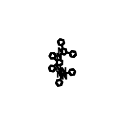 c1ccc(-c2cc(-c3ccccc3)nc(-n3c4ccccc4c4c5c6ccccc6n(-c6nc(-c7ccccc7)nc(-c7ccccc7)n6)c5ccc43)c2)cc1